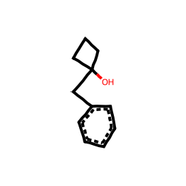 OC1([CH]c2ccccc2)CCC1